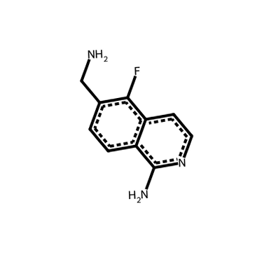 NCc1ccc2c(N)nccc2c1F